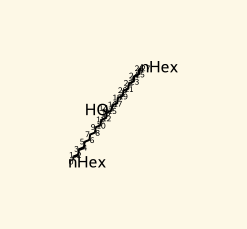 CCCCCCC=CC=CCCCCCCCCC(O)CCCCCCCCC=CC=CCCCCCC